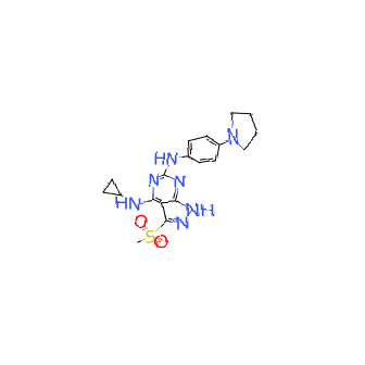 CS(=O)(=O)c1n[nH]c2nc(Nc3ccc(N4CCCC4)cc3)nc(NC3CC3)c12